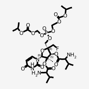 CC(C)OC(=O)OCOP(=O)(OCOC(=O)OC(C)C)OC[C@@]1(CF)O[C@@H](n2ccc(=O)[nH]c2=O)[C@](C)(OC(=O)C(N)C(C)C)[C@@H]1OC(=O)C(N)C(C)C